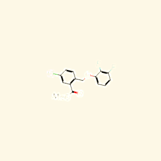 COC(=O)c1cc(Cl)ccc1COc1cccc(F)c1F